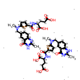 Cc1nc(=O)c2cc(CN(C)c3ccc(C(=O)NC(CCC(=O)O)C(=O)O)s3)ccc2[nH]1.Cc1nc2ccc(CN(C)c3ccc(C(=O)N[C@@H](CCC(=O)O)C(=O)O)s3)cc2c(=O)[nH]1